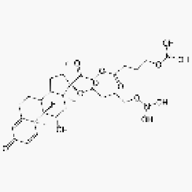 C[C@H]1CC2C3CCC4=CC(=O)C=C[C@]4(C)[C@@]3(F)[C@@H](O)C[C@]2(C)[C@@]1(OC(=O)CCCON(O)O)C(=O)COC(=O)CCCON(O)O